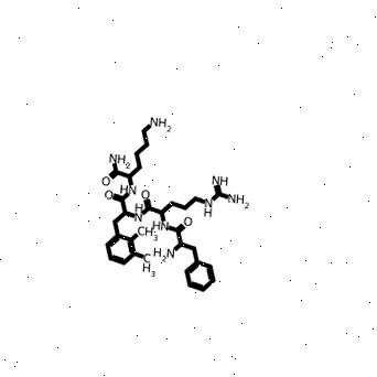 Cc1cccc(CC(NC(=O)C(CCCNC(=N)N)NC(=O)C(N)Cc2ccccc2)C(=O)NC(CCCCN)C(N)=O)c1C